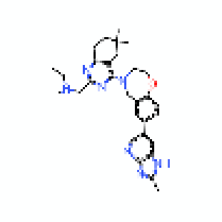 CCN(C)Cc1nc2c(c(N3CCOc4ccc(-c5cnc6nc(C)[nH]c6c5)cc4C3)n1)CC(C)(C)CC2